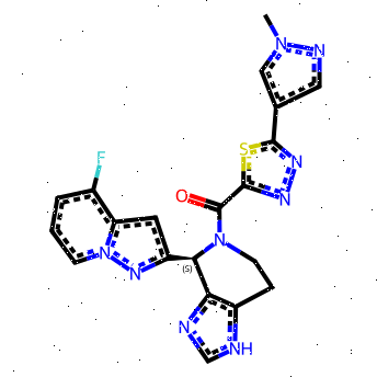 Cn1cc(-c2nnc(C(=O)N3CCc4[nH]cnc4[C@H]3c3cc4c(F)cccn4n3)s2)cn1